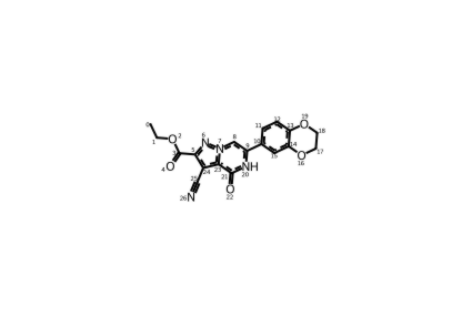 CCOC(=O)c1nn2cc(-c3ccc4c(c3)OCCO4)[nH]c(=O)c2c1C#N